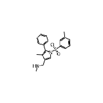 CNCc1cn(S(=O)(=O)c2cccc(C)c2)c(-c2ccccc2)c1C